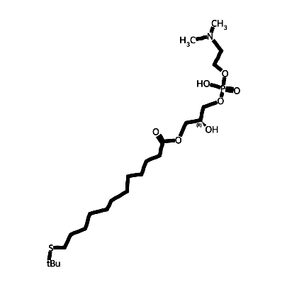 CN(C)CCOP(=O)(O)OC[C@H](O)COC(=O)CCCCCCCCCCCSC(C)(C)C